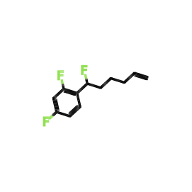 C=CCCCC(F)c1ccc(F)cc1F